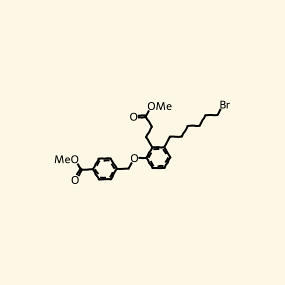 COC(=O)CCc1c(CCCCCCBr)cccc1OCc1ccc(C(=O)OC)cc1